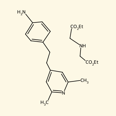 CCOC(=O)CNCC(=O)OCC.Cc1cc(CCc2ccc(N)cc2)cc(C)n1